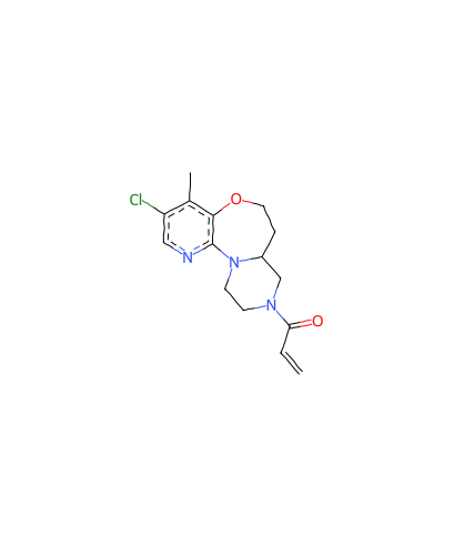 C=CC(=O)N1CCN2c3ncc(Cl)c(C)c3OCCC2C1